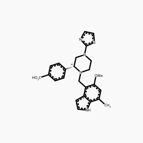 COc1cc(C)c2[nH]ccc2c1CN1CCN(c2nccs2)C[C@H]1c1ccc(C(=O)O)cc1